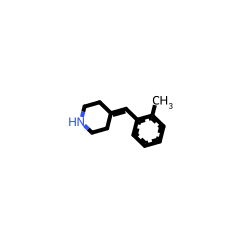 Cc1ccccc1C=C1CCNCC1